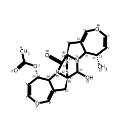 CC(=O)O[C@H]1C=COC=C2C[C@@]34SS[C@]5(CC6=COC=C[C@H](C)C6N5C3O)C(=O)N4C21